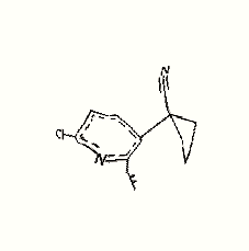 N#CC1(c2ccc(Cl)nc2F)CC1